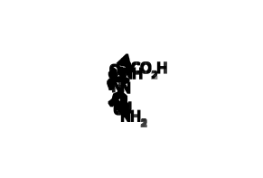 Cc1cc(C2=NC=C3C(NC(C(=O)O)C4CC4)=COCC4=C3N2CC4)cc2nc(N)oc12